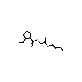 CCCCOC(=O)COC(=O)C1CCCC1CC